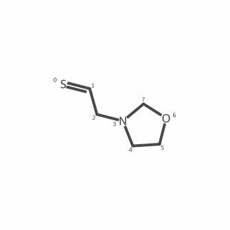 S=CCN1CCOC1